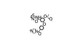 COC[C@H](C)Oc1cc(Oc2ccc(C(=O)N3CCN(C)CC3)cc2)cc(C(=O)Nc2nccs2)c1